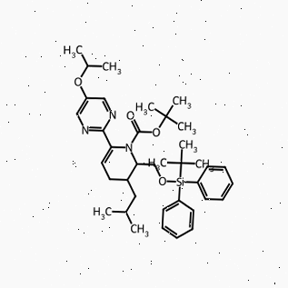 CC(C)CC1CC=C(c2ncc(OC(C)C)cn2)N(C(=O)OC(C)(C)C)C1CO[Si](c1ccccc1)(c1ccccc1)C(C)(C)C